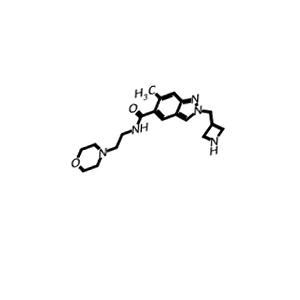 Cc1cc2nn(CC3CNC3)cc2cc1C(=O)NCCN1CCOCC1